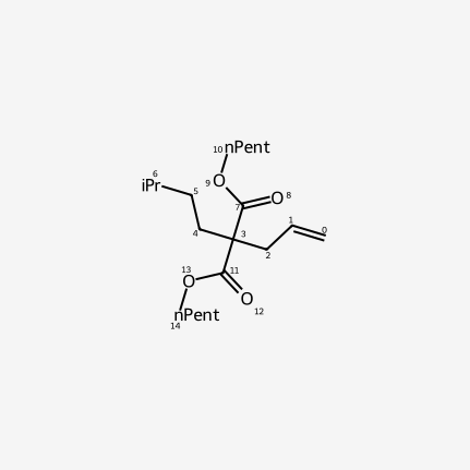 C=CCC(CCC(C)C)(C(=O)OCCCCC)C(=O)OCCCCC